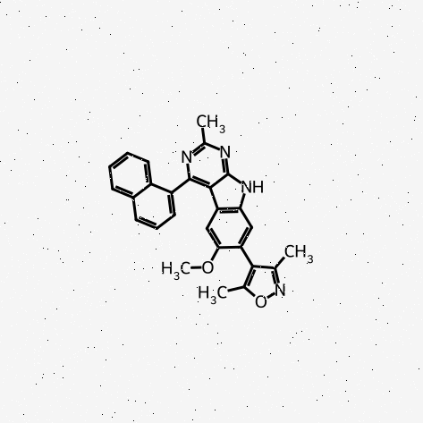 COc1cc2c(cc1-c1c(C)noc1C)[nH]c1nc(C)nc(-c3cccc4ccccc34)c12